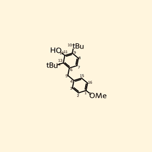 COc1ccc(Cc2ccc(C(C)(C)C)c(O)c2C(C)(C)C)cc1